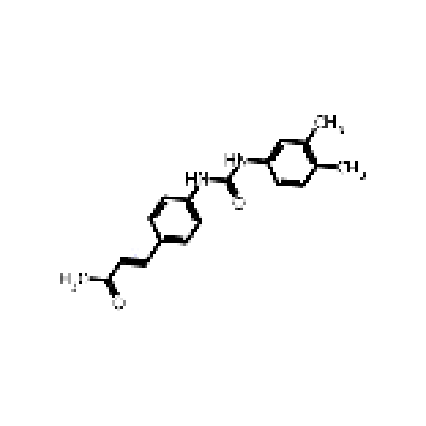 CC(=O)/C=C/c1ccc(NC(=O)Nc2ccc(C)c(C)c2)cc1